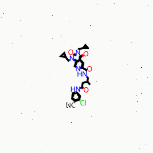 CC(CNC(=O)c1cc2c(=O)n(CC3CC3)c(=O)n(CC3CC3)c2cn1)CC(=O)Nc1ccc(C#N)c(Cl)c1